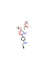 C#CCNc1ccc(C(=O)N[C@@H](CCC(=O)OC(C)(C)C)C(=O)OC(C)(C)C)cc1